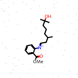 COC(=O)c1ccccc1/N=C/CC(C)CCCC(C)(C)O